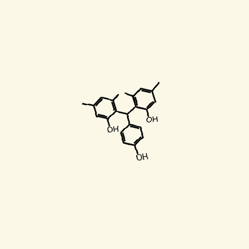 Cc1cc(C)c(C(c2ccc(O)cc2)c2c(C)cc(C)cc2O)c(O)c1